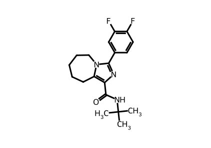 CC(C)(C)NC(=O)c1nc(-c2ccc(F)c(F)c2)n2c1CCCCC2